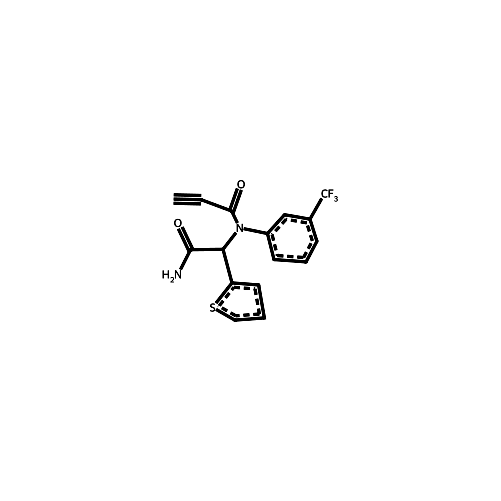 C#CC(=O)N(c1cccc(C(F)(F)F)c1)C(C(N)=O)c1cccs1